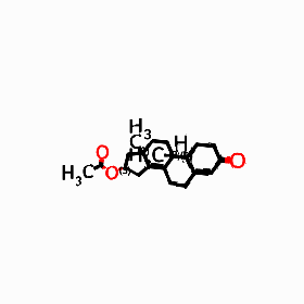 CC(=O)O[C@@H]1CC2=C3CCC4=CC(=O)CC[C@@H]4[C@@]3(C)CC[C@]2(C)C1